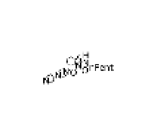 CCCCCC(=O)Nc1nc2c(s1)CCCC2C(=O)N1CCN(c2ccncc2)CC1